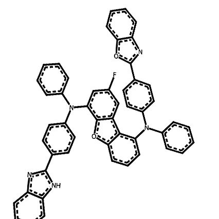 Fc1cc(N(c2ccccc2)c2ccc(-c3nc4ccccc4[nH]3)cc2)c2oc3cccc(N(c4ccccc4)c4ccc(-c5nc6ccccc6o5)cc4)c3c2c1